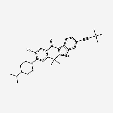 CN(C)C1CCN(c2cc3c(cc2C#N)C(=O)c2c([nH]c4cc(C#C[Si](C)(C)C)ccc24)C3(C)C)CC1